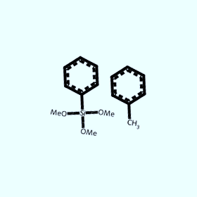 CO[Si](OC)(OC)c1ccccc1.Cc1ccccc1